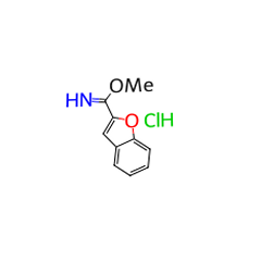 COC(=N)c1cc2ccccc2o1.Cl